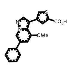 COc1cc(-c2ccccc2)cn2ncc(-c3csc(C(=O)O)c3)c12